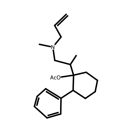 C=CCN(C)CC(C)C1(OC(C)=O)CCCCC1c1ccccc1